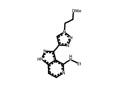 CCNc1nccc2[nH]nc(-c3cn(CCOC)nn3)c12